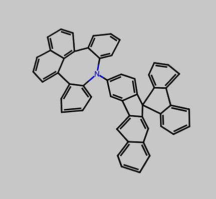 c1ccc2c(c1)-c1cccc3cccc(c13)-c1ccccc1N2c1ccc2c(c1)-c1cc3ccccc3cc1C21c2ccccc2-c2ccccc21